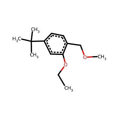 CCOc1cc(C(C)(C)C)ccc1COC